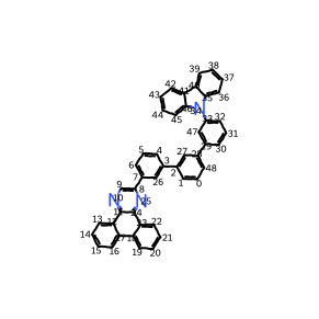 c1cc(-c2cccc(-c3cnc4c5ccccc5c5ccccc5c4n3)c2)cc(-c2cccc(-n3c4ccccc4c4ccccc43)c2)c1